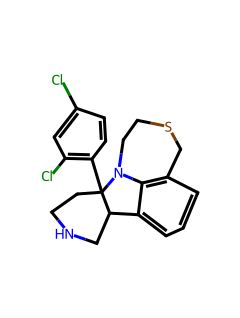 Clc1ccc(C23CCNCC2c2cccc4c2N3CCSC4)c(Cl)c1